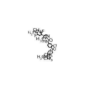 CN(C)c1nc(F)c(-c2cnc(C(=O)Nc3ccc(C(=O)N4CCN(C(=O)[N+](C)(C)C)CC4)c(Cl)c3)n2C)cc1F